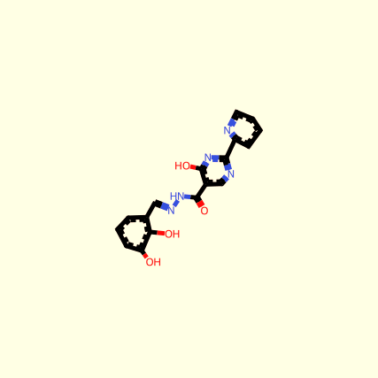 O=C(NN=Cc1cccc(O)c1O)c1cnc(-c2ccccn2)nc1O